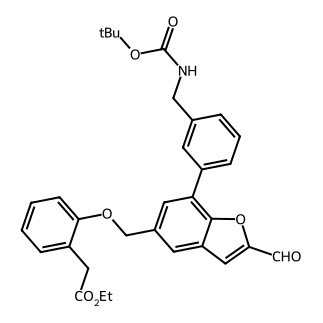 CCOC(=O)Cc1ccccc1OCc1cc(-c2cccc(CNC(=O)OC(C)(C)C)c2)c2oc(C=O)cc2c1